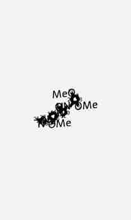 COc1ccc(OC)c(CNC2CCN(c3ccc(-n4cnc(C)c4)c(OC)c3)C2=O)c1